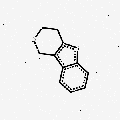 c1ccc2c3c(sc2c1)CCOC3